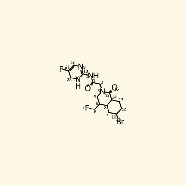 O=C(CN1CC(CF)C2CC(Br)CCC2C1=O)NC1=NC=C(F)CN1